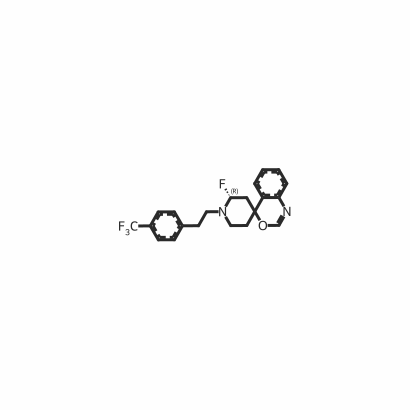 F[C@@H]1CC2(CCN1CCc1ccc(C(F)(F)F)cc1)OC=Nc1ccccc12